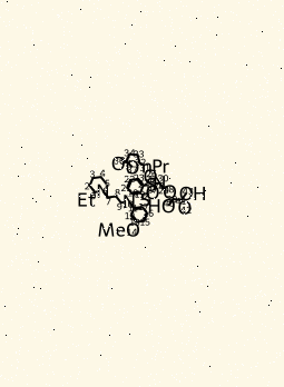 CCC1CCCCN1CCCN1c2cc(OC)ccc2Sc2c1cccc2S(=O)(=O)N(C)C.CCCC1CCC(=O)O1.O=C(O)C(=O)O